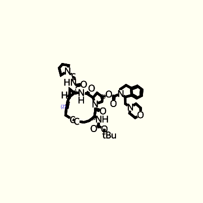 CC(C)(C)OC(=O)N[C@H]1CCCCC/C=C\[C@@H]2C[C@@]2(C(=O)NSN2CCCC2)NC(=O)C2C[C@@H](OC(=O)N3CCc4ccccc4C3CN3CCOCC3)CN2C1=O